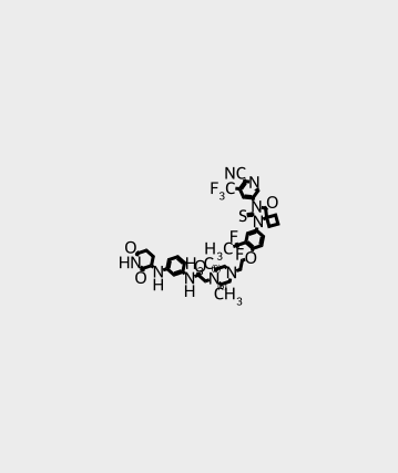 C[C@@H]1CN(CCOc2ccc(N3C(=S)N(c4cnc(C#N)c(C(F)(F)F)c4)C(=O)C34CCC4)cc2C(C)(F)F)C[C@H](C)N1CC(=O)Nc1cccc(NC2CCC(=O)NC2=O)c1